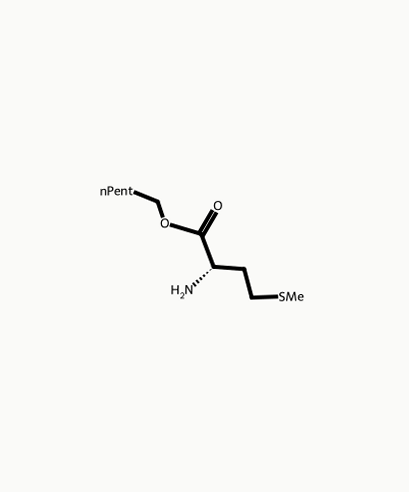 CCCCCCOC(=O)[C@@H](N)CCSC